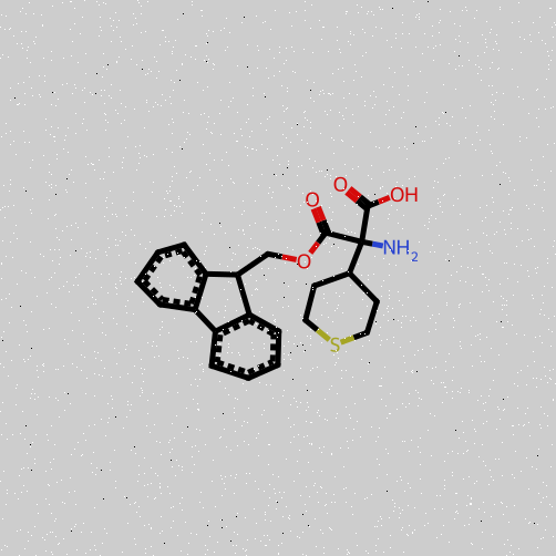 NC(C(=O)O)(C(=O)OCC1c2ccccc2-c2ccccc21)C1CCSCC1